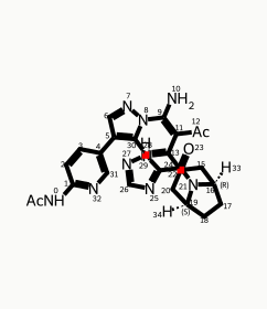 CC(=O)Nc1ccc(-c2cnn3c(N)c(C(C)=O)c(C4C[C@H]5CC[C@@H](C4)N5C(=O)c4ncn[nH]4)nc23)cn1